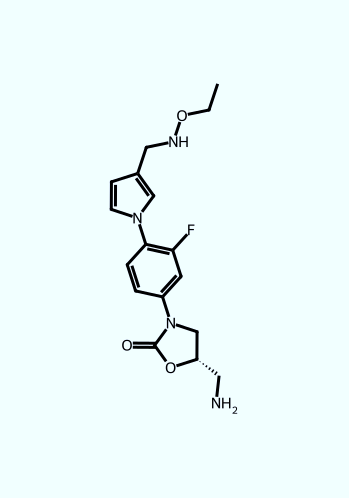 CCONCc1ccn(-c2ccc(N3C[C@H](CN)OC3=O)cc2F)c1